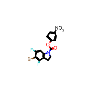 O=C(Oc1ccc([N+](=O)[O-])cc1)N1CCc2c1cc(F)c(Br)c2F